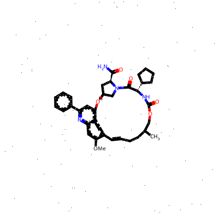 COc1cc2nc(-c3ccccc3)cc3c2cc1/C=C/CCC(C)COC(=O)N[C@@H](C1CCCC1)C(=O)N1C[C@@H](C[C@H]1C(N)=O)O3